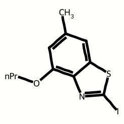 CCCOc1cc(C)cc2sc(I)nc12